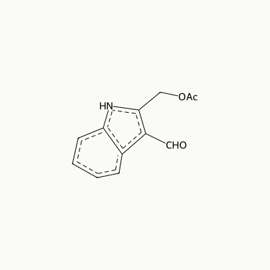 CC(=O)OCc1[nH]c2ccccc2c1C=O